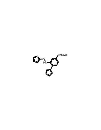 CNCc1ccc(-c2ccoc2)c(NSc2cccs2)c1